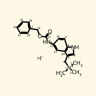 C[N+](C)(C)Cc1c[nH]c2ccc(NC(=O)OCc3ccccc3)cc12.[I-]